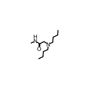 CCCCN(CCCC)CC(=O)NC